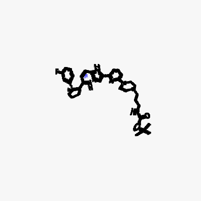 CC(C)(C)OC(=O)NCCCN1CCN(c2cccc(-c3cnc(/C=C\C(=N)C4CCC[C@@H]4c4cccc(F)c4)[nH]3)n2)CC1